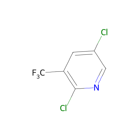 FC(F)(F)c1cc(Cl)cnc1Cl